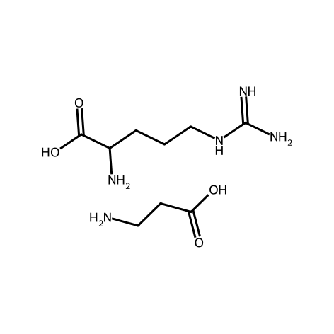 N=C(N)NCCCC(N)C(=O)O.NCCC(=O)O